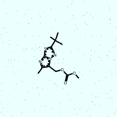 COC(=O)OCc1c(C)nc2sc(C(C)(C)C)nn12